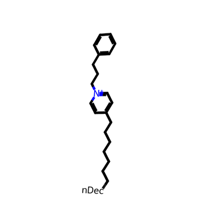 CCCCCCCCCCCCCCCCCc1cc[n+](CCCc2ccccc2)cc1